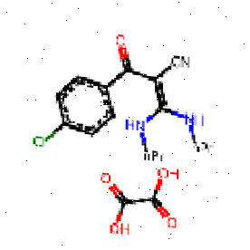 CCCNC(NCCC)=C(C#N)C(=O)c1ccc(Cl)cc1.O=C(O)C(=O)O